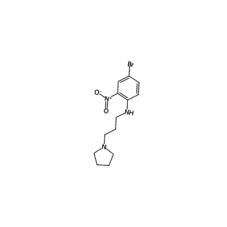 O=[N+]([O-])c1cc(Br)ccc1NCCCN1CCCC1